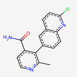 Cc1nccc(C(N)=O)c1-c1ccc2nc(Cl)ccc2c1